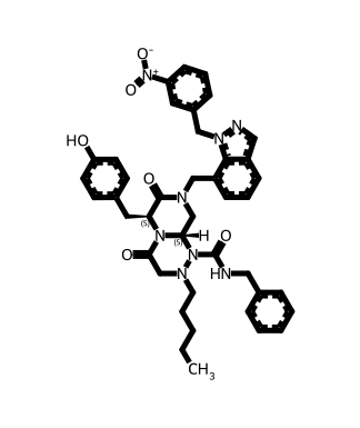 CCCCCN1CC(=O)N2[C@@H](Cc3ccc(O)cc3)C(=O)N(Cc3cccc4cnn(Cc5cccc([N+](=O)[O-])c5)c34)C[C@@H]2N1C(=O)NCc1ccccc1